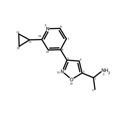 CC(N)c1cc(-c2ccnc(C3CC3)c2)no1